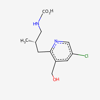 C[C@H](CNC(=O)O)Cc1ncc(Cl)cc1CO